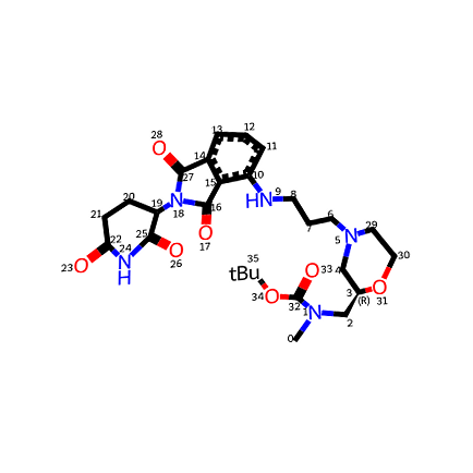 CN(C[C@H]1CN(CCCNc2cccc3c2C(=O)N(C2CCC(=O)NC2=O)C3=O)CCO1)C(=O)OC(C)(C)C